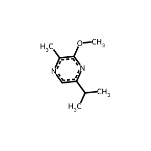 COc1nc(C(C)C)cnc1C